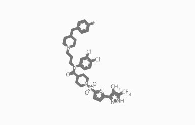 Cc1c(-c2ccc(S(=O)(=O)N3CCC(C(=O)N(CCCN4CCC(Cc5ccc(F)cc5)CC4)c4ccc(Cl)c(Cl)c4)CC3)s2)n[nH]c1C(F)(F)F